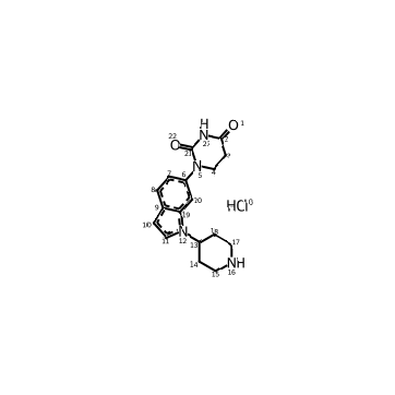 Cl.O=C1CCN(c2ccc3ccn(C4CCNCC4)c3c2)C(=O)N1